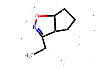 CCC1=NOC2CCCC12